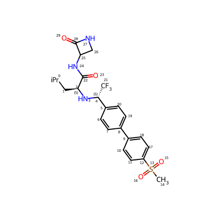 CC(C)C[C@H](N[C@@H](c1ccc(-c2ccc(S(C)(=O)=O)cc2)cc1)C(F)(F)F)C(=O)NC1CNC1=O